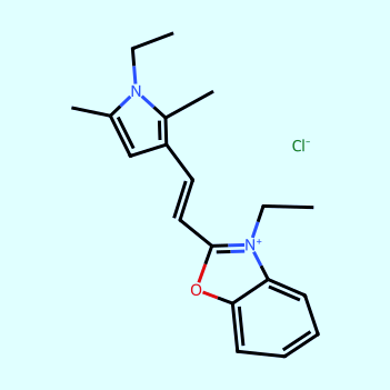 CCn1c(C)cc(C=Cc2oc3ccccc3[n+]2CC)c1C.[Cl-]